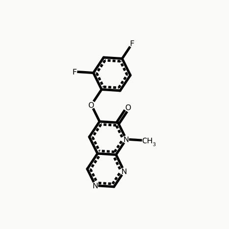 Cn1c(=O)c(Oc2ccc(F)cc2F)cc2cncnc21